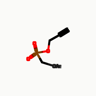 C#CCOS(=O)(=O)COC(C)=O